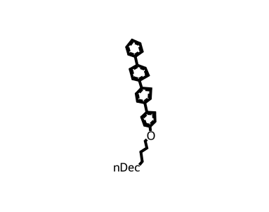 CCCCCCCCCCCCCCOc1ccc(-c2ccc(-c3ccc(-c4ccccc4)cc3)cc2)cc1